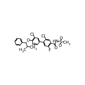 CC(C)[C@@H](Oc1ncc(-c2cc(F)c(C(=O)NS(C)(=O)=O)cc2Cl)cc1Cl)c1ccccc1